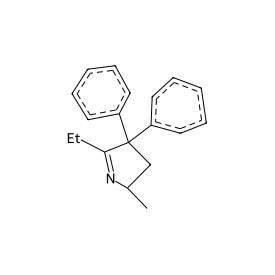 CCC1=NC(C)CC1(c1ccccc1)c1ccccc1